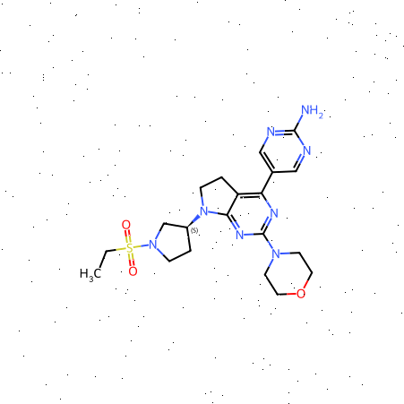 CCS(=O)(=O)N1CC[C@H](N2CCc3c(-c4cnc(N)nc4)nc(N4CCOCC4)nc32)C1